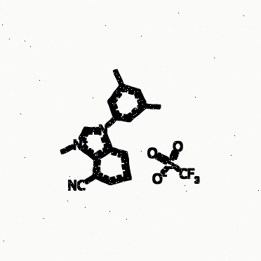 Cc1cc(C)cc(-n2c[n+](C)c3c(C#N)cccc32)c1.O=S(=O)([O-])C(F)(F)F